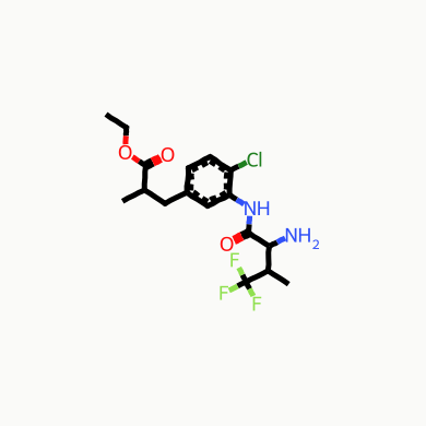 CCOC(=O)C(C)Cc1ccc(Cl)c(NC(=O)C(N)C(C)C(F)(F)F)c1